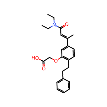 CCN(CC)C(=O)C=C(C)c1ccc(CCc2ccccc2)c(OCC(=O)O)c1